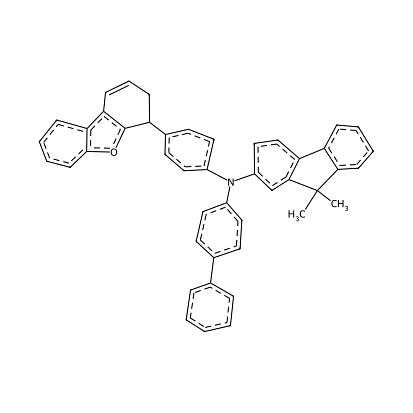 CC1(C)c2ccccc2-c2ccc(N(c3ccc(-c4ccccc4)cc3)c3ccc(C4CC=Cc5c4oc4ccccc54)cc3)cc21